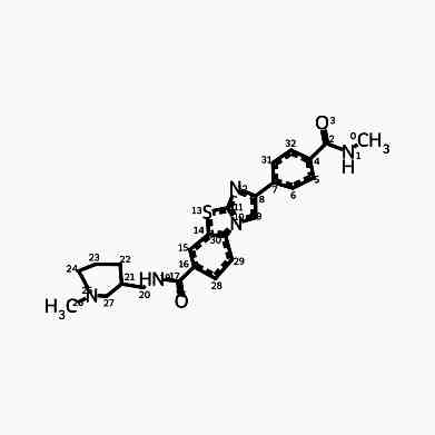 CNC(=O)c1ccc(-c2cn3c(n2)sc2cc(C(=O)NCC4CCCN(C)C4)ccc23)cc1